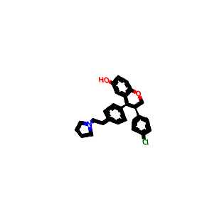 Oc1ccc2c(c1)[C@H](c1ccc(CCN3CCCC3)cc1)[C@H](c1ccc(Cl)cc1)CO2